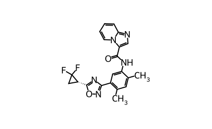 Cc1cc(C)c(-c2noc([C@@H]3CC3(F)F)n2)cc1NC(=O)c1cnc2ccccn12